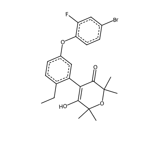 CCc1ccc(Oc2ccc(Br)cc2F)cc1C1=C(O)C(C)(C)OC(C)(C)C1=O